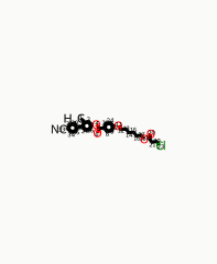 Cc1cc(OC(=O)c2ccc(OCCCCCCOC(=O)CCCl)cc2)ccc1-c1ccc(C#N)cc1